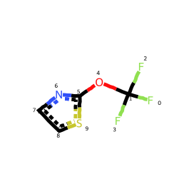 FC(F)(F)Oc1n[c]cs1